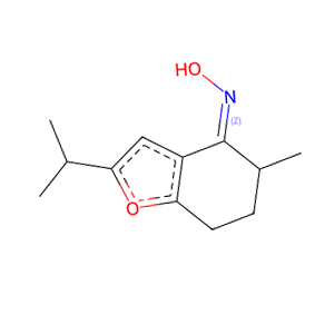 CC1CCc2oc(C(C)C)cc2/C1=N\O